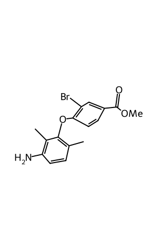 COC(=O)c1ccc(Oc2c(C)ccc(N)c2C)c(Br)c1